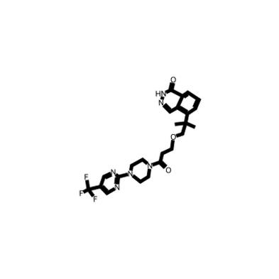 CC(C)(COCCC(=O)N1CCN(c2ncc(C(F)(F)F)cn2)CC1)c1cccc2c(=O)[nH]ncc12